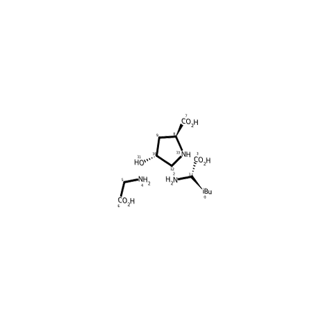 CC[C@H](C)[C@H](N)C(=O)O.NCC(=O)O.O=C(O)[C@@H]1C[C@@H](O)CN1